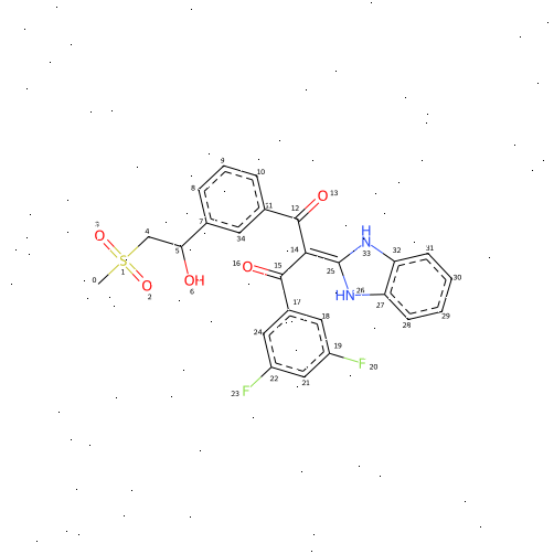 CS(=O)(=O)CC(O)c1cccc(C(=O)C(C(=O)c2cc(F)cc(F)c2)=C2Nc3ccccc3N2)c1